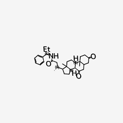 CC[C@H](NC(=O)C[C@@H](C)C1CC[C@H]2C3C(=O)CC4CC(=O)CCC4(C)[C@H]3CCC12C)c1ccccc1